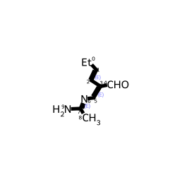 CC/C=C/C(C=O)=C\N=C(/C)N